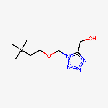 C[Si](C)(C)CCOCn1nnnc1CO